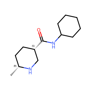 C[C@@H]1CC[C@H](C(=O)NC2CCCCC2)CN1